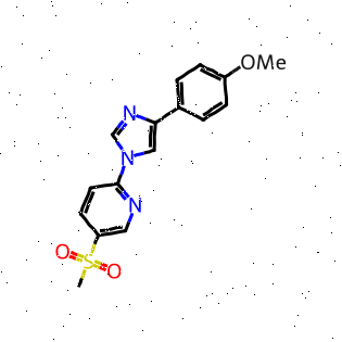 COc1ccc(-c2cn(-c3ccc(S(C)(=O)=O)cn3)cn2)cc1